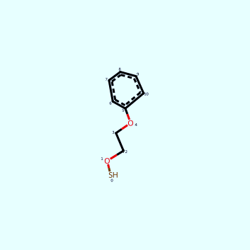 SO[CH]COc1ccccc1